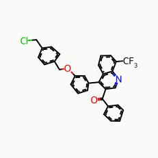 O=C(c1ccccc1)c1cnc2c(C(F)(F)F)cccc2c1-c1cccc(OCc2ccc(CCl)cc2)c1